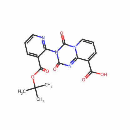 CC(C)(C)OC(=O)c1cccnc1-n1c(=O)nc2c(C(=O)O)cccn2c1=O